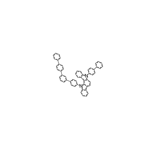 c1ccc(-c2ccc(-c3cccc(-c4ccc(-n5c6ccccc6c6ccc7c(c8ccccc8n7-c7ccc(-c8ccccc8)cc7)c65)cc4)c3)cc2)cc1